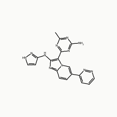 Cc1nc(N)nc(-c2c(Nc3cc[nH]n3)nc3ccc(-c4cccnn4)cn23)n1